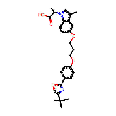 Cc1cn(C(C)C(=O)O)c2ccc(OCCCOc3ccc(-c4nc(C(C)(C)C)co4)cc3)cc12